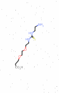 NCCNC(=S)NCCOCCOCCC(=O)O